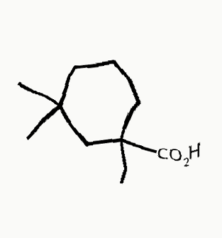 CC1(C)CCCC(C)(C(=O)O)C1